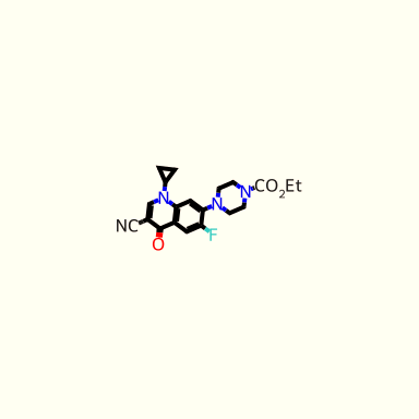 CCOC(=O)N1CCN(c2cc3c(cc2F)c(=O)c(C#N)cn3C2CC2)CC1